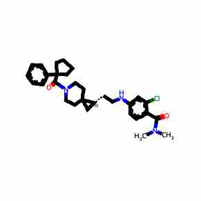 CN(C)C(=O)c1ccc(NCC[C@@H]2CC23CCN(C(=O)C2(c4ccccc4)CCCC2)CC3)cc1Cl